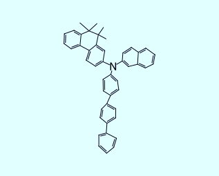 CC1(C)c2ccccc2-c2ccc(N(c3ccc(-c4ccc(-c5ccccc5)cc4)cc3)c3ccc4ccccc4c3)cc2C1(C)C